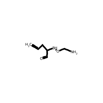 C=CCC(BOCN)C=O